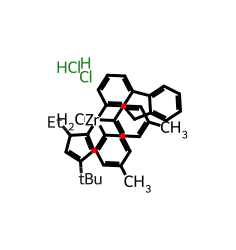 Cl.Cl.[CH2]=[Zr]([C]1=CC(C(C)(C)C)=CC1CC)([c]1ccc(C)cc1)([c]1ccc(C)cc1)[c]1cccc2c1Cc1ccccc1-2